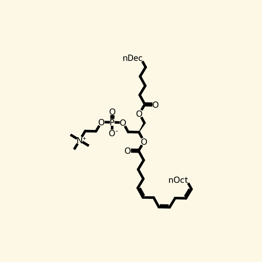 CCCCCCCC/C=C\C/C=C\C/C=C\CCCC(=O)O[C@H](COC(=O)CCCCCCCCCCCCCC)COP(=O)([O-])OCC[N+](C)(C)C